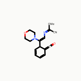 COC(C#N)=NC=C(C1C=CC=CC1=C=O)N1CCOCC1